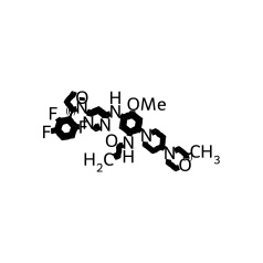 C=CC(=O)Nc1cc(Nc2cc(N3OCC[C@@H]3c3c(F)ccc(F)c3F)ncn2)c(OC)cc1N1CCC(N2CCO[C@@H](C)C2)CC1